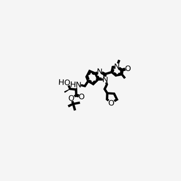 Cc1cc(-c2nc3ccc(CN[C@H](C(=O)OC(C)(C)C)[C@@H](C)O)cc3n2CCC2CCOC2)cn(C)c1=O